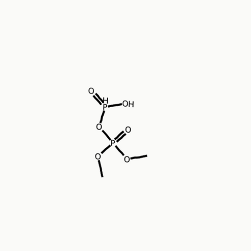 COP(=O)(OC)O[PH](=O)O